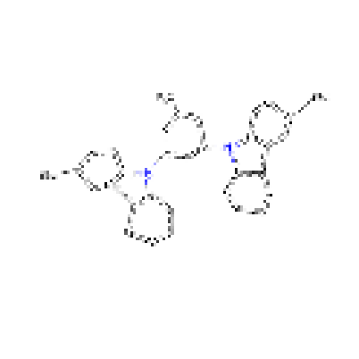 CC(C)(C)c1ccc2c(c1)c1ccccc1n2-c1cc(-n2c3ccccc3c3cc(C(C)(C)C)ccc32)cc(C(F)(F)F)c1